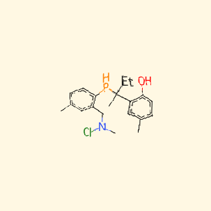 CCC(C)(Pc1ccc(C)cc1CN(C)Cl)c1cc(C)ccc1O